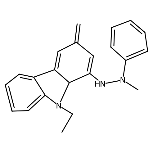 C=C1C=C(NN(C)c2ccccc2)C2C(=C1)c1ccccc1N2CC